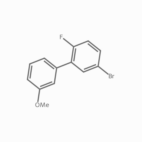 COc1cccc(-c2cc(Br)ccc2F)c1